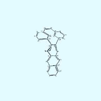 c1ccc2cc3cc4c(cc3cc2c1)c1cccc2ccc3cccc4c3c21